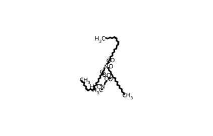 CCCCC/C=C\C/C=C\CCCCCCCC(=O)OCCN(CCOC(=O)CCCCCCC/C=C\C/C=C\CCCCC)C(=O)CCC(CCCCCCCCCCCC)OC(=O)OCCCN(CC)CC